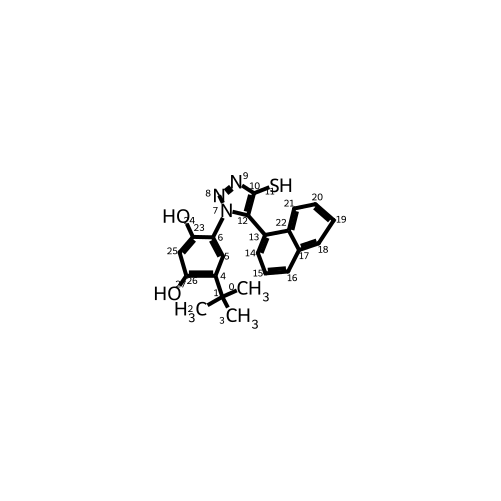 CC(C)(C)c1cc(-n2nnc(S)c2-c2cccc3ccccc23)c(O)cc1O